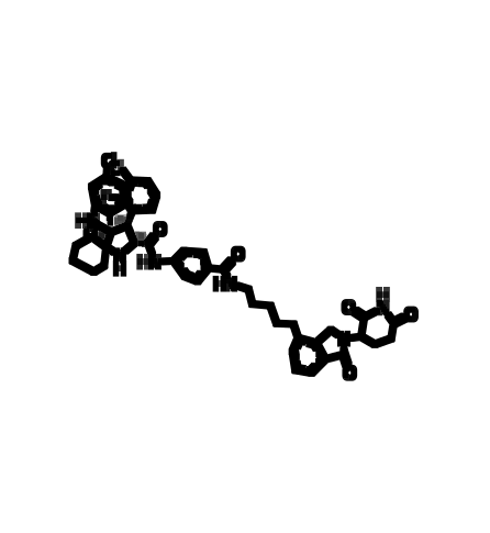 O=C1CCC(N2Cc3c(CCCCCNC(=O)c4ccc(NC(=O)[C@@H]5NC6(CCCCC6)[C@@]6(C(=O)Nc7cc(Cl)ccc76)[C@H]5c5cccc(Cl)c5F)cc4)cccc3C2=O)C(=O)N1